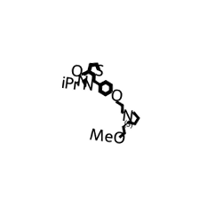 COCC[C@@H]1CCCN1CCCOc1ccc(-c2nn(C(C)C)c(=O)c3ccsc23)cc1